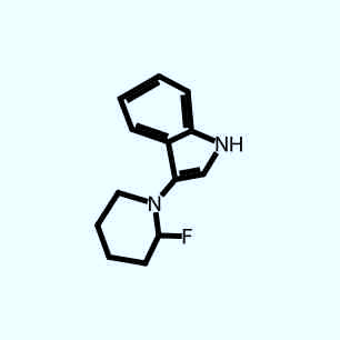 FC1CCCCN1c1c[nH]c2ccccc12